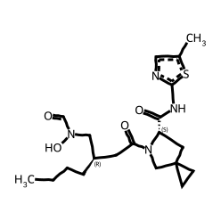 CCCC[C@H](CC(=O)N1CC2(CC2)C[C@H]1C(=O)Nc1ncc(C)s1)CN(O)C=O